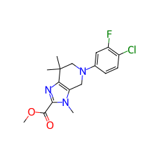 COC(=O)c1nc2c(n1C)CN(c1ccc(Cl)c(F)c1)CC2(C)C